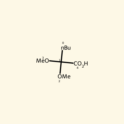 CCCCC(OC)(OC)C(=O)O